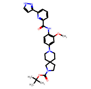 COc1cc(N2CCC3(CCN(C(=O)OC(C)(C)C)C3)CC2)ccc1NC(=O)c1cccc(-c2cc[nH]n2)n1